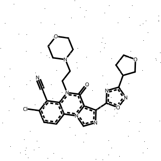 N#Cc1c(Cl)ccc2c1n(CCN1CCOCC1)c(=O)c1c(-c3nc(C4CCOC4)no3)ncn12